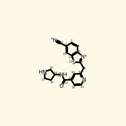 N#Cc1ccc2nc(Cc3cc(C(=O)NC4CCNC4)ccn3)sc2c1